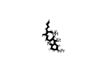 C=CCCC1=C(C)/C=C/c2nc3ccc(CCC)cc3c(CC)c2C/[PH](C)=C\1